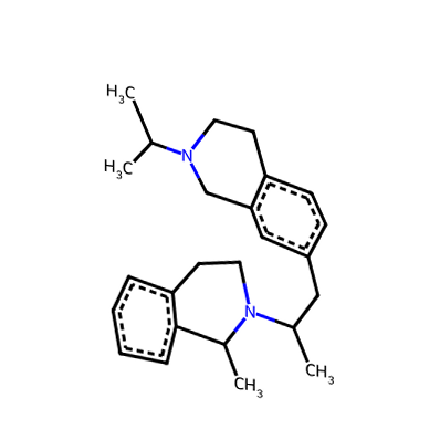 CC(C)N1CCc2ccc(CC(C)N3CCc4ccccc4C3C)cc2C1